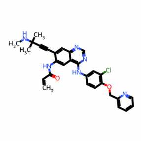 C=CC(=O)Nc1cc2c(Nc3ccc(OCc4ccccn4)c(Cl)c3)ncnc2cc1C#CC(C)(C)NC